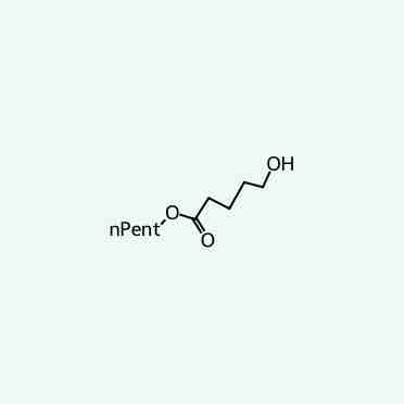 CCCCCOC(=O)CCCCO